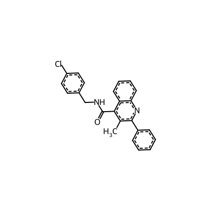 Cc1c(-c2ccccc2)nc2ccccc2c1C(=O)NCc1ccc(Cl)cc1